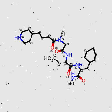 CCNC(=O)[C@H](CC1CCCCC1)NC(=O)[C@H](CC(=O)O)NC(=O)CN(CC)C(=O)CCCC1CCNCC1